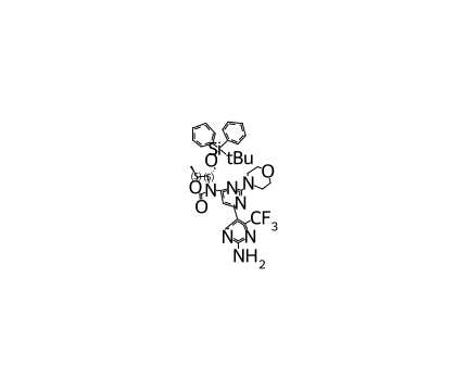 C[C@@H]1OC(=O)N(c2cc(-c3cnc(N)nc3C(F)(F)F)nc(N3CCOCC3)n2)[C@H]1CO[Si](c1ccccc1)(c1ccccc1)C(C)(C)C